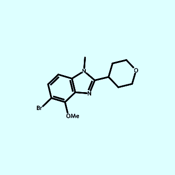 COc1c(Br)ccc2c1nc(C1CCOCC1)n2C